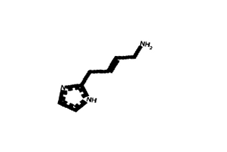 NC/C=C/Cc1ncc[nH]1